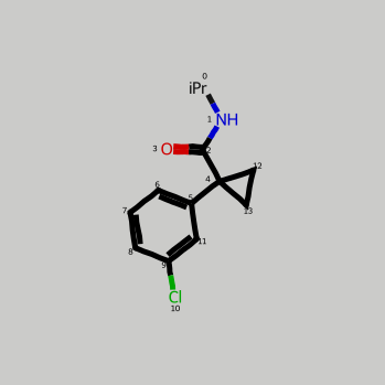 CC(C)NC(=O)C1(c2cccc(Cl)c2)CC1